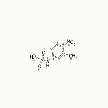 Cc1cc(NS(N)(=O)=O)ccc1[N+](=O)[O-]